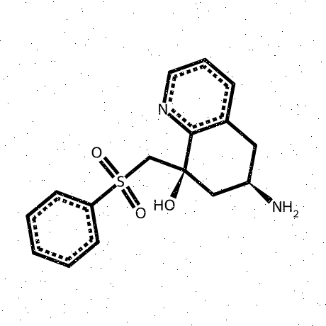 N[C@@H]1Cc2cccnc2[C@@](O)(CS(=O)(=O)c2ccccc2)C1